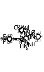 CNC(=N)NCc1c(C(=O)NN2CCCCC2)nn(-c2ccc(Cl)cc2Cl)c1-c1ccc(C#Cc2ccc(C(F)(F)F)cc2)s1